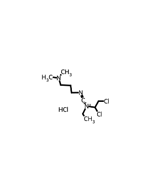 CC[N+](=C=NCCCN(C)C)C(Cl)CCl.Cl